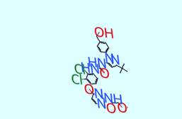 COCC(=O)Nc1nccc(Oc2ccc(NC(=O)Nc3cc(C(C)(C)C)nn3-c3ccc(CO)cc3)c(Cl)c2Cl)n1